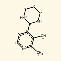 Cc1nccc(C2NCCCN2)c1O